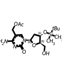 CC(=O)OCc1cn([C@H]2C[C@H](O[Si](C)(C)C(C)(C)C)[C@@H](CO)O2)c(=O)nc1N